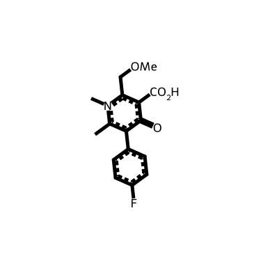 COCc1c(C(=O)O)c(=O)c(-c2ccc(F)cc2)c(C)n1C